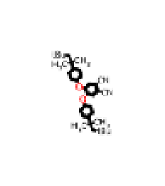 CC(C)(C)CC(C)(C)c1ccc(Oc2cc(C#N)c(C#N)cc2Oc2ccc(C(C)(C)CC(C)(C)C)cc2)cc1